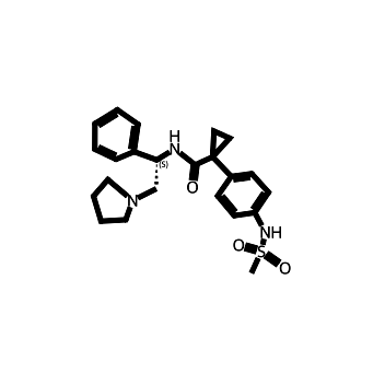 CS(=O)(=O)Nc1ccc(C2(C(=O)N[C@H](CN3CCCC3)c3ccccc3)CC2)cc1